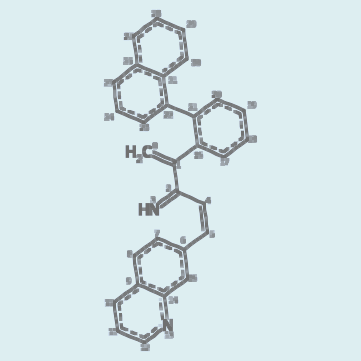 C=C(C(=N)/C=C\c1ccc2cccnc2c1)c1ccccc1-c1cccc2ccccc12